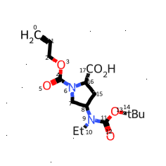 C=CCOC(=O)N1CC(N(CC)C(=O)OC(C)(C)C)CC1C(=O)O